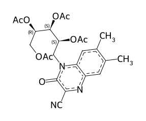 CC(=O)OC[C@@H](OC(C)=O)[C@@H](OC(C)=O)[C@H](Cn1c(=O)c(C#N)nc2cc(C)c(C)cc21)OC(C)=O